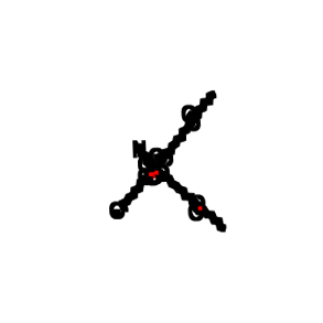 CCCCCCCC(=O)OCCCCCCCCCOC(=O)CC(CC(=O)OCCCCCCCCCOC)(OC(=O)CCN(C)C)C(=O)OCCCCCCCCCOC(=O)CCCCCCC